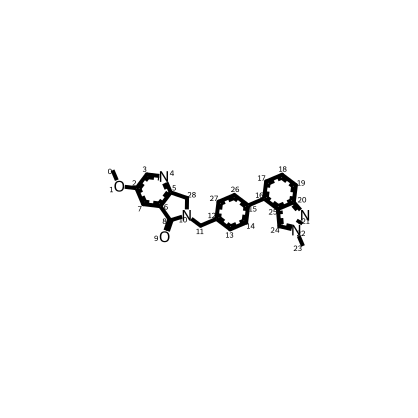 COc1cnc2c(c1)C(=O)N(Cc1ccc(-c3cccc4nn(C)cc34)cc1)C2